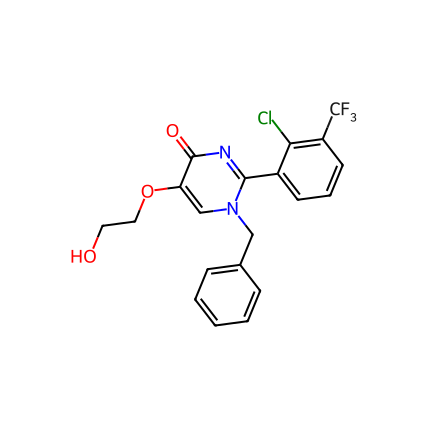 O=c1nc(-c2cccc(C(F)(F)F)c2Cl)n(Cc2ccccc2)cc1OCCO